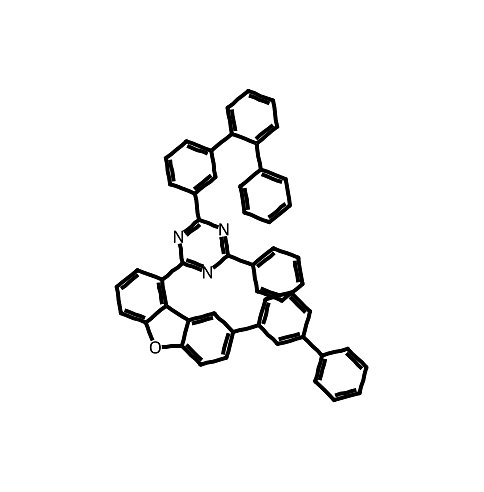 c1ccc(-c2cccc(-c3ccc4oc5cccc(-c6nc(-c7ccccc7)nc(-c7cccc(-c8ccccc8-c8ccccc8)c7)n6)c5c4c3)c2)cc1